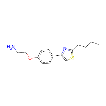 CCCCc1nc(-c2ccc(OCCN)cc2)cs1